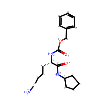 NCCCC[C@H](NC(=O)OCc1ccccc1)C(=O)NC1CCCC1